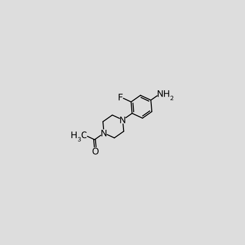 CC(=O)N1CCN(c2ccc(N)cc2F)CC1